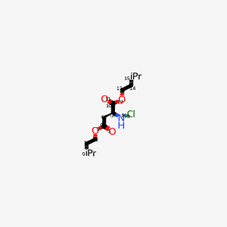 CC(C)CCOC(=O)C[C@H](NCl)C(=O)OCCC(C)C